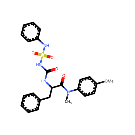 COc1ccc(N(C)C(=O)C(Cc2ccccc2)NC(=O)NS(=O)(=O)Nc2ccccc2)cc1